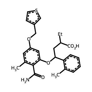 CCC(CC(Oc1cc(OCc2ccsc2)cc(C)c1C(N)=O)c1ccccc1C)C(=O)O